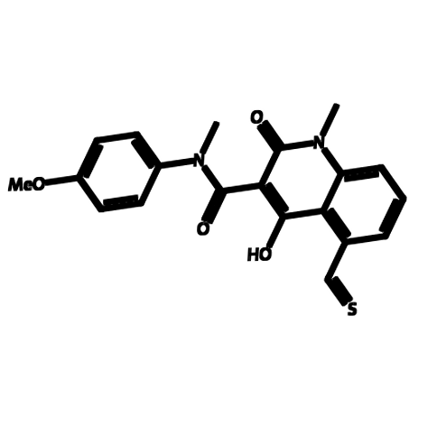 COc1ccc(N(C)C(=O)c2c(O)c3c(C=S)cccc3n(C)c2=O)cc1